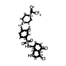 O=C(N1CCN(Sc2ccc(S(=O)(=O)Nc3ccc(Cl)c4c(Cl)c[nH]c34)cc2F)CC1)C(F)(F)F